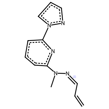 C=C/C=N\N(C)c1cccc(-n2cccn2)n1